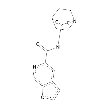 O=C(NC1CC2CCN(CC2)C1)c1cc2ccoc2cn1